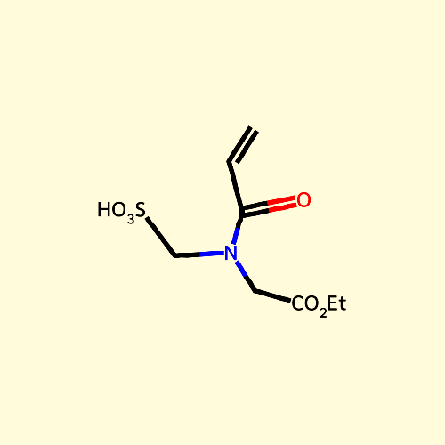 C=CC(=O)N(CC(=O)OCC)CS(=O)(=O)O